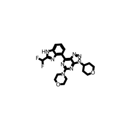 FC(F)c1nc2c(-c3nc(N4CCOCC4)nc4c3nnn4C3CCOCC3)cccc2[nH]1